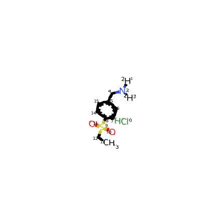 Cl.[2H]N([2H])Cc1ccc(S(=O)(=O)CC)cc1